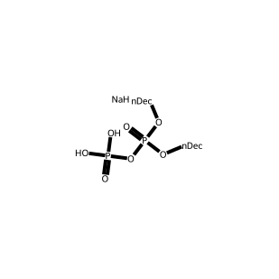 CCCCCCCCCCOP(=O)(OCCCCCCCCCC)OP(=O)(O)O.[NaH]